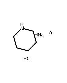 C1C[CH2][AlH][CH2]C1.Cl.[NaH].[Zn]